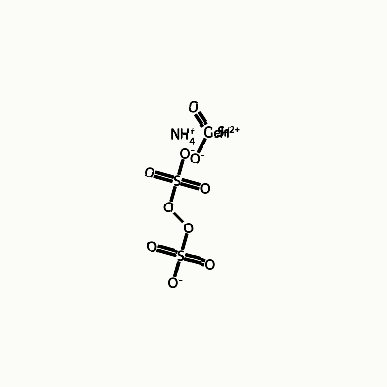 O=S(=O)([O-])OOS(=O)(=O)[O-].[NH4+].[O]=[GeH][O-].[Sr+2]